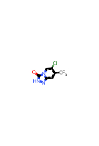 O=c1[nH]nc2cc(C(F)(F)F)c(Cl)cn12